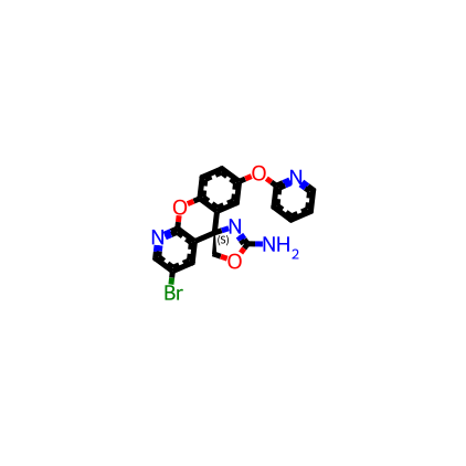 NC1=N[C@@]2(CO1)c1cc(Oc3ccccn3)ccc1Oc1ncc(Br)cc12